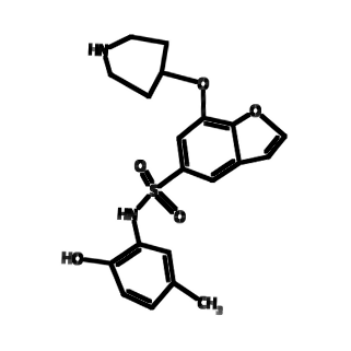 Cc1ccc(O)c(NS(=O)(=O)c2cc(OC3CCNCC3)c3occc3c2)c1